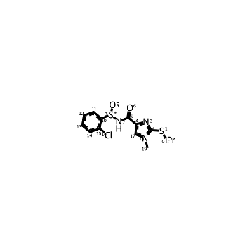 CC(C)Sc1nc(C(=O)N[S+]([O-])c2ccccc2Cl)cn1C